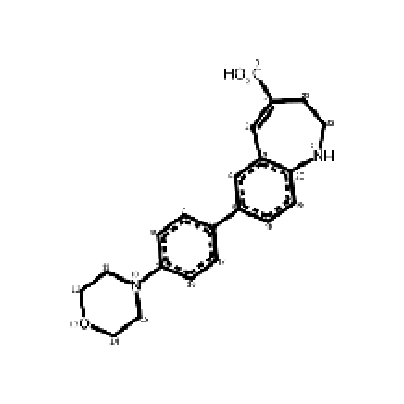 O=C(O)C1=Cc2cc(-c3ccc(N4CCOCC4)cc3)ccc2NCC1